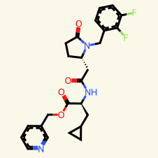 O=C(C[C@@H]1CCC(=O)N1Cc1cccc(F)c1F)N[C@@H](CC1CC1)C(=O)OCc1cccnc1